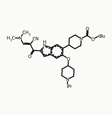 CC(C)N1CCC(Oc2cc3cc(C(=O)/C(C#N)=C/N(C)C)[nH]c3cc2C2CCN(C(=O)OC(C)(C)C)CC2)CC1